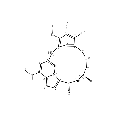 CNc1cc2nn3c(cnc13)C(=O)N[C@H](C)COCc1cc(c(OC)c(F)c1F)N2